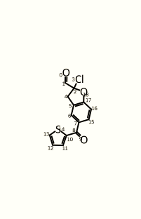 O=CC1(Cl)Cc2cc(C(=O)c3cccs3)ccc2O1